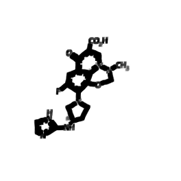 CN1COc2c(N3CC[C@@H](Nc4ncc[nH]4)C3)c(F)cc3c(=O)c(C(=O)O)cn1c23